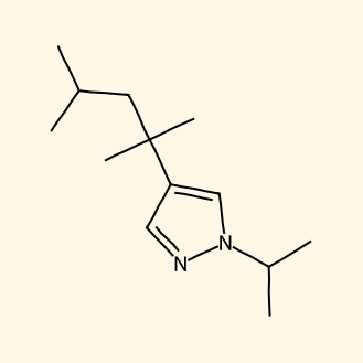 CC(C)CC(C)(C)c1cnn(C(C)C)c1